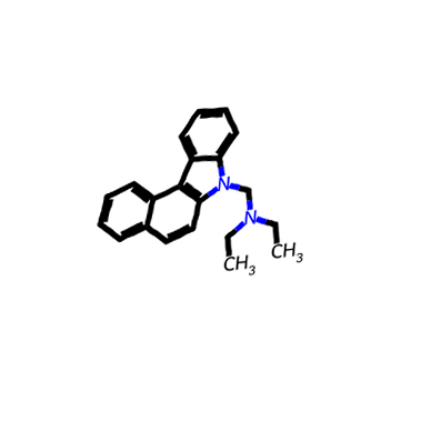 CCN(CC)Cn1c2ccccc2c2c3ccccc3ccc21